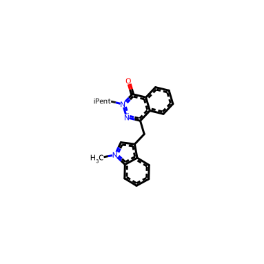 CCCC(C)n1nc(Cc2cn(C)c3ccccc23)c2ccccc2c1=O